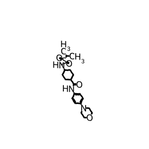 CC(C)S(=O)(=O)NC1CCC(C(=O)Nc2ccc(N3CCOCC3)cc2)CC1